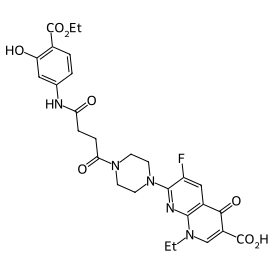 CCOC(=O)c1ccc(NC(=O)CCC(=O)N2CCN(c3nc4c(cc3F)c(=O)c(C(=O)O)cn4CC)CC2)cc1O